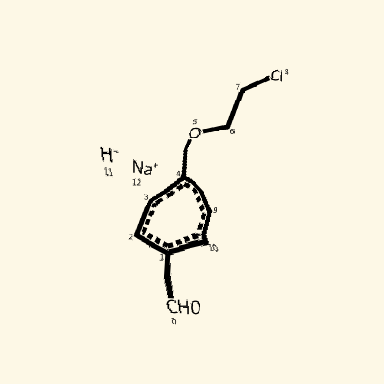 O=Cc1ccc(OCCCl)cc1.[H-].[Na+]